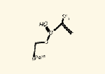 C=C(B(O)OCCCCCC)C(F)(F)F